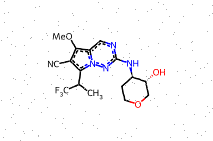 COc1c(C#N)c(C(C)C(F)(F)F)n2nc(N[C@@H]3CCOC[C@H]3O)ncc12